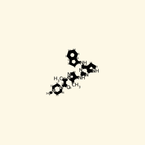 Cc1c(Nc2nc(NC3CCc4ccccc43)c3cc[nH]c3n2)cnn1C(C)C(=O)N1CCN(I)CC1